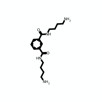 NCCCCNC(=O)c1cccc(C(=O)NCCCCN)c1